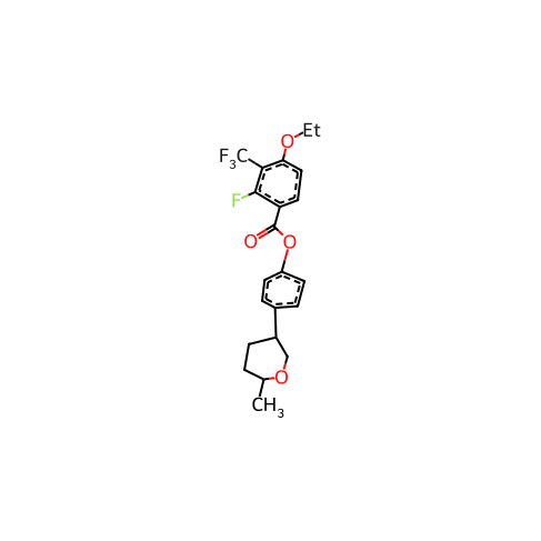 CCOc1ccc(C(=O)Oc2ccc(C3CCC(C)OC3)cc2)c(F)c1C(F)(F)F